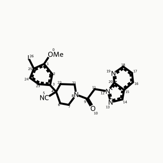 COc1cc(C2(C#N)CCN(C(=O)Cn3ncc4cccnc43)CC2)ccc1I